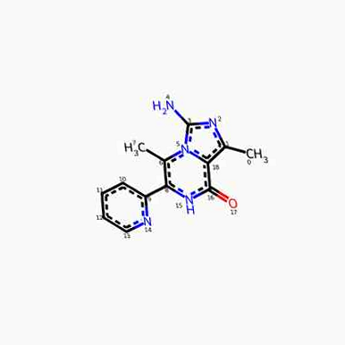 Cc1nc(N)n2c(C)c(-c3ccccn3)[nH]c(=O)c12